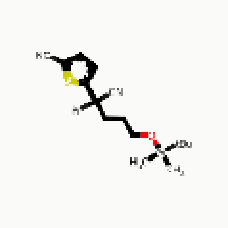 CC(C)C(C#N)(CCCO[Si](C)(C)C(C)(C)C)c1ccc(C#N)s1